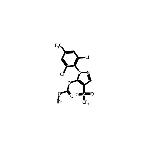 CC(C)OC(=O)Oc1c(S(=O)(=O)C(F)(F)F)cnn1-c1c(Cl)cc(C(F)(F)F)cc1Cl